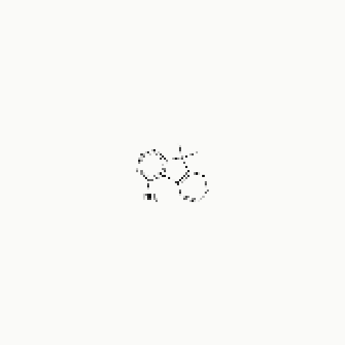 CC1(C)C2=C(C=CCC2)c2c(N)cccc21